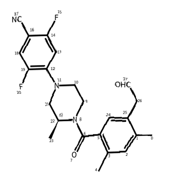 Cc1cc(C)c(C(=O)N2CCN(c3cc(F)c(C#N)cc3F)C[C@@H]2C)cc1CC=O